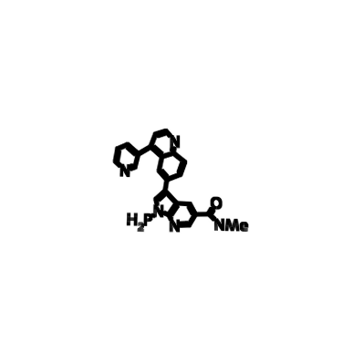 CNC(=O)c1cnc2c(c1)c(-c1ccc3nccc(-c4cccnc4)c3c1)cn2P